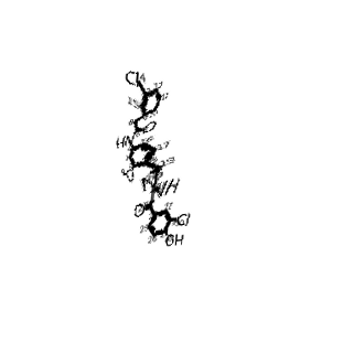 COc1cc(NC(=O)Cc2cccc(Cl)c2)ccc1/C=N/NC(=O)c1ccc(O)c(Cl)c1